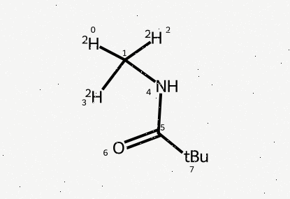 [2H]C([2H])([2H])NC(=O)C(C)(C)C